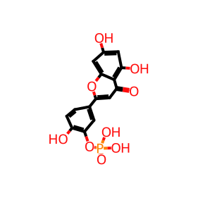 O=c1cc(-c2ccc(O)c(OP(=O)(O)O)c2)oc2cc(O)cc(O)c12